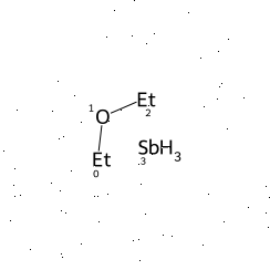 CCOCC.[SbH3]